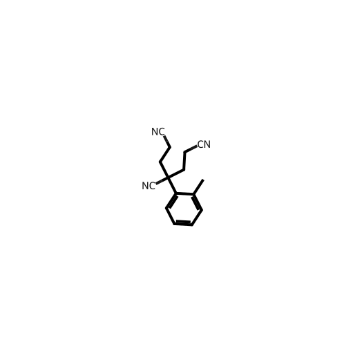 Cc1ccccc1C(C#N)(CCC#N)CCC#N